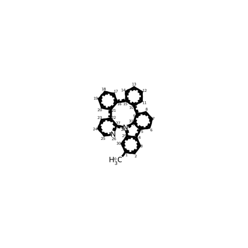 Cc1ccc2c3cccc4c5ccccc5c5ccccc5c5cccnc5n(c2c1)c43